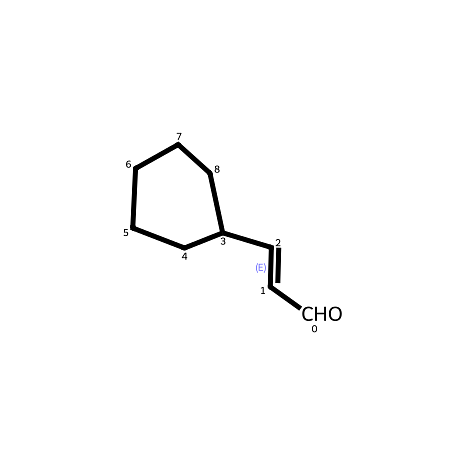 O=C/C=C/C1CCCCC1